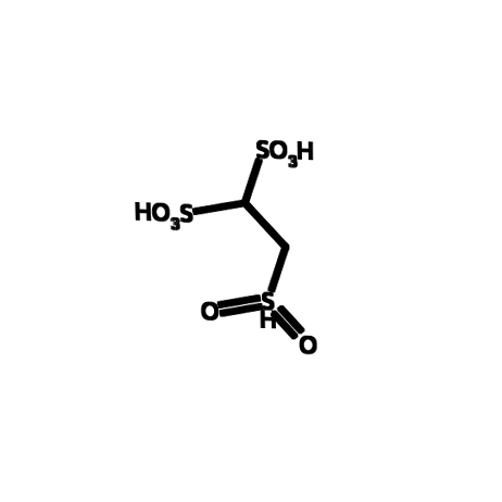 O=[SH](=O)CC(S(=O)(=O)O)S(=O)(=O)O